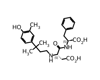 Cc1cc(C(C)(C)CCN[C@@H](CC(=O)O)C(=O)N[C@@H](Cc2ccccc2)C(=O)O)ccc1O